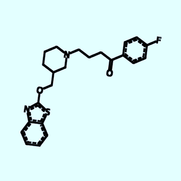 O=C(CCCN1CCCC(COc2nc3ccccc3s2)C1)c1ccc(F)cc1